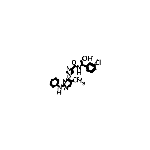 Cc1cnc(NC2CCCCC2)nc1-n1cnc(C(=O)NC(CO)c2cccc(Cl)c2)c1